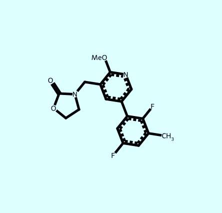 COc1ncc(-c2cc(F)cc(C)c2F)cc1CN1CCOC1=O